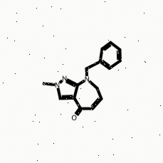 Cn1cc2c(n1)N(Cc1ccccc1)CC=CC2=O